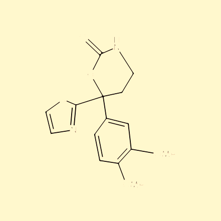 COc1ccc(C2(c3nccs3)CCNC(=O)O2)cc1OC